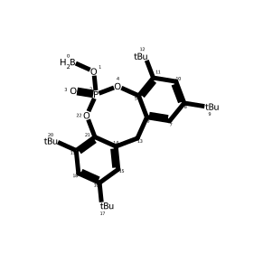 BOP1(=O)Oc2c(cc(C(C)(C)C)cc2C(C)(C)C)Cc2cc(C(C)(C)C)cc(C(C)(C)C)c2O1